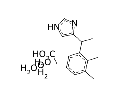 CC(=O)O.Cc1cccc(C(C)c2c[nH]cn2)c1C.O.O.O